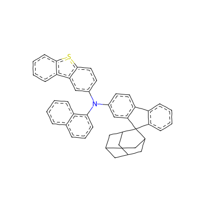 c1ccc2c(c1)-c1ccc(N(c3ccc4sc5ccccc5c4c3)c3cccc4ccccc34)cc1C21C2CC3CC(C2)CC1C3